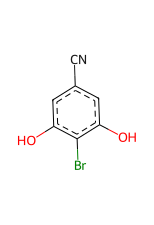 N#Cc1cc(O)c(Br)c(O)c1